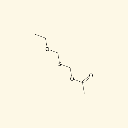 CCOCSCOC(C)=O